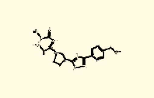 CCCCCCCCCCCc1ccc(-c2noc(C3CCN(C(=NC(=O)OC(C)(C)C)NC(=O)O)C3)n2)cc1